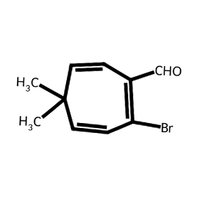 CC1(C)C=CC(Br)=C(C=O)C=C1